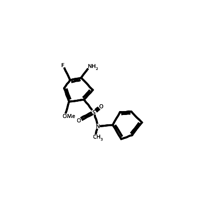 COc1cc(F)c(N)cc1S(=O)(=O)N(C)c1ccccc1